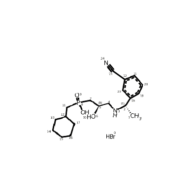 Br.C[C@H](NC[C@@H](O)CP(=O)(O)CC1CCCCC1)c1cccc(C#N)c1